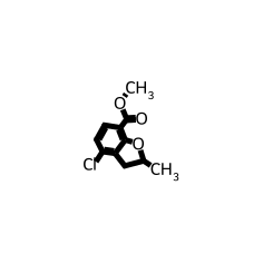 COC(=O)c1ccc(Cl)c2c1OC(C)C2